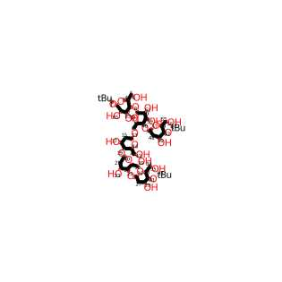 CC(C)(C)OC1OC(CO)C(OC2OC(COC3CC(O)C(OC4CC(O)C(OC5CC(O)C(OC(C)(C)C)C(CO)O5)C(CO)O4)C(CO)O3)C(OC3CC(O)C(OC(C)(C)C)C(CO)O3)C(O)C2O)C(O)C1O